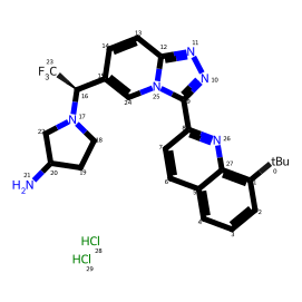 CC(C)(C)c1cccc2ccc(-c3nnc4ccc([C@@H](N5CCC(N)C5)C(F)(F)F)cn34)nc12.Cl.Cl